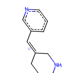 C(=C1\CCCNC1)/c1cccnc1